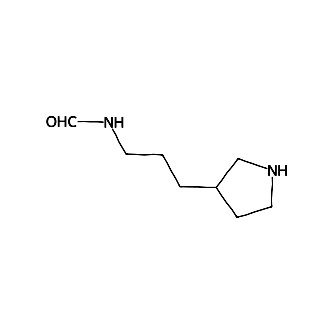 O=CNCCCC1CCNC1